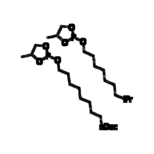 CC(C)CCCCCCCOP1OCC(C)O1.CCCCCCCCCCCCCCCCCCOP1OCC(C)O1